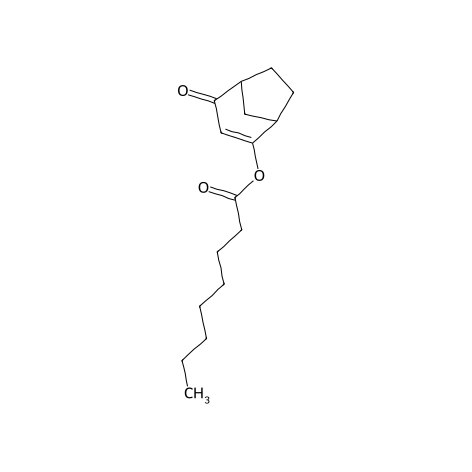 CCCCCCCC(=O)OC1=CC(=O)C2CCC1C2